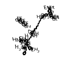 CCN(CC)c1ccc2c(-c3ccc(S(=O)(=O)NCCCCCCCCCCCCNC(=O)NCCCCC(NC(=O)Cc4csc(=N)n4C)C(=O)NC(Cc4c[n+](Cc5ccccc5)cn4C)C(=O)NC4CCN(C)CC4)cc3S(=O)(=O)O)c3ccc(=[N+](CC)CC)cc-3oc2c1.O=C(O)C(F)(F)F.O=C([O-])C(F)(F)F.O=C([O-])C(F)(F)F